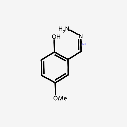 COc1ccc(O)c(/C=N\N)c1